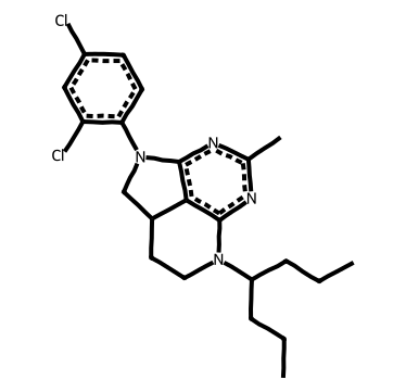 CCCC(CCC)N1CCC2CN(c3ccc(Cl)cc3Cl)c3nc(C)nc1c32